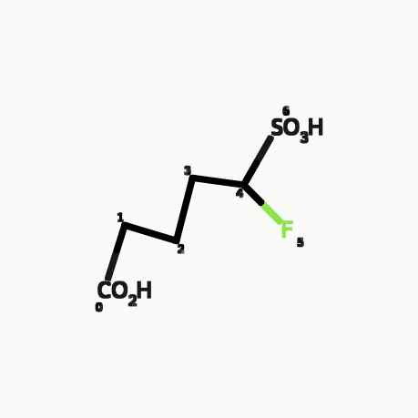 O=C(O)CCCC(F)S(=O)(=O)O